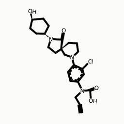 C#CCN(C(=O)O)c1ccc(N2CCC[C@]3(CCN([C@H]4CC[C@H](O)CC4)C3=O)C2)c(Cl)c1